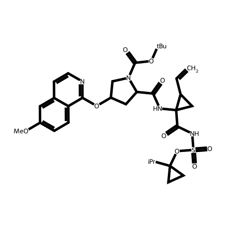 C=CC1CC1(NC(=O)C1CC(Oc2nccc3cc(OC)ccc23)CN1C(=O)OC(C)(C)C)C(=O)NS(=O)(=O)OC1(C(C)C)CC1